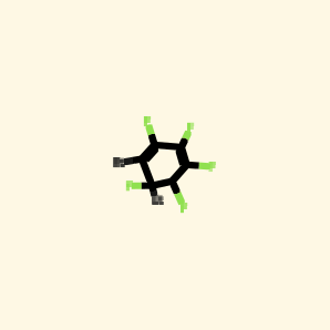 CCC1=C(F)C(F)=C(F)C(F)C1(F)CC